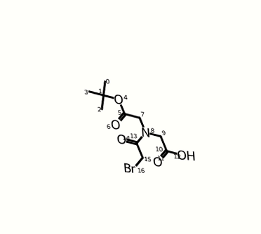 CC(C)(C)OC(=O)CN(CC(=O)O)C(=O)CBr